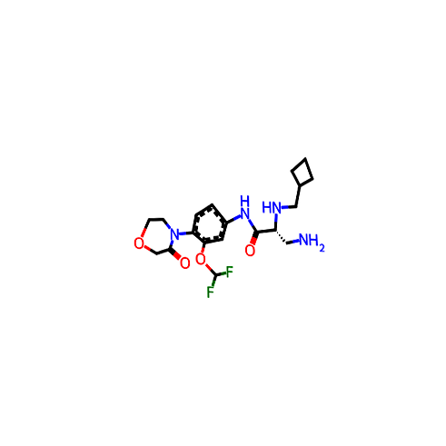 NC[C@@H](NCC1CCC1)C(=O)Nc1ccc(N2CCOCC2=O)c(OC(F)F)c1